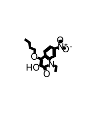 CCCCOc1c(O)c(=O)n(CC)c2cc([N+](=O)[O-])ccc12